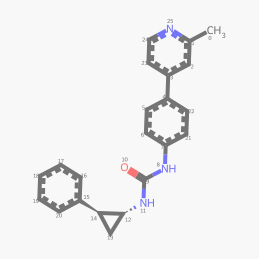 Cc1cc(-c2ccc(NC(=O)N[C@@H]3C[C@H]3c3ccccc3)cc2)ccn1